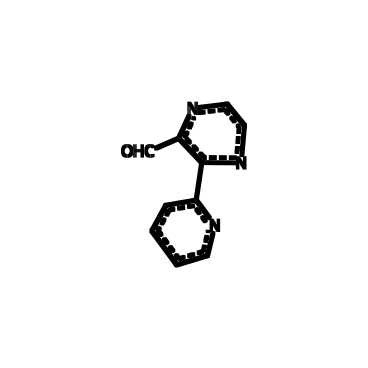 O=Cc1nccnc1-c1ccccn1